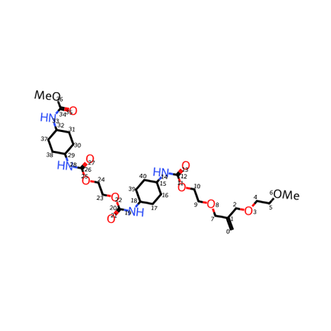 C=C(COCCOC)COCCOC(=O)NC1CCC(NC(=O)OCCOC(=O)NC2CCC(NC(=O)OC)CC2)CC1